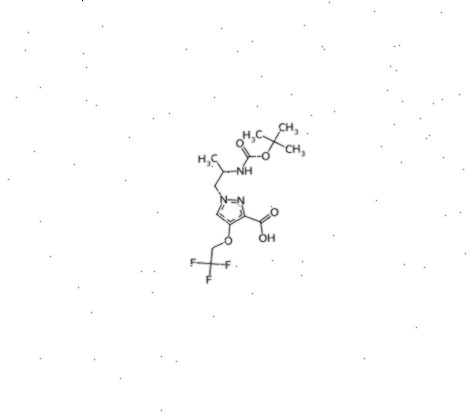 CC(Cn1cc(OCC(F)(F)F)c(C(=O)O)n1)NC(=O)OC(C)(C)C